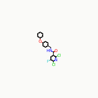 O=C(NCc1ccc(Oc2ccccc2)cc1)c1cc(F)c(Cl)nc1Cl